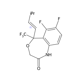 CC(C)/C=C/C1(C(F)(F)F)OCC(=O)Nc2ccc(F)c(F)c21